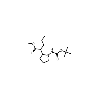 CCCC(C(=O)OC)C1CCCN1NC(=O)OC(C)(C)C